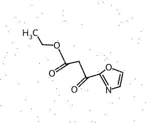 CCOC(=O)CC(=O)c1ncco1